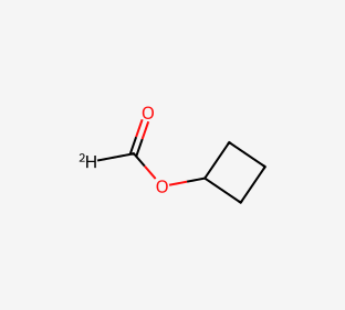 [2H]C(=O)OC1CCC1